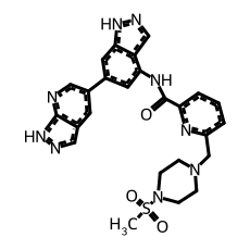 CS(=O)(=O)N1CCN(Cc2cccc(C(=O)Nc3cc(-c4cnc5[nH]ncc5c4)cc4[nH]ncc34)n2)CC1